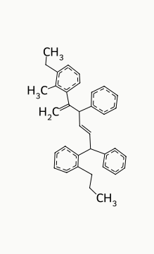 C=C(c1cccc(CC)c1C)C(C=CC(c1ccccc1)c1ccccc1CCC)c1ccccc1